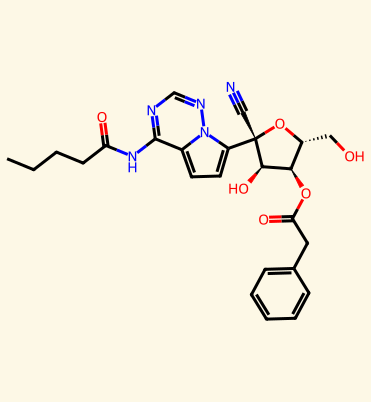 CCCCC(=O)Nc1ncnn2c([C@]3(C#N)O[C@H](CO)[C@@H](OC(=O)Cc4ccccc4)[C@H]3O)ccc12